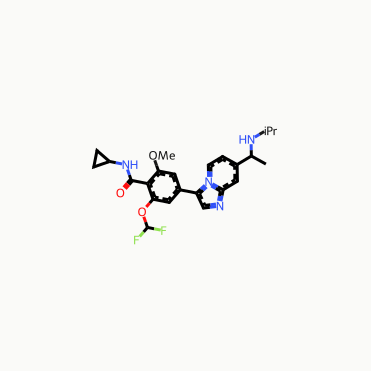 COc1cc(-c2cnc3cc(C(C)NC(C)C)ccn23)cc(OC(F)F)c1C(=O)NC1CC1